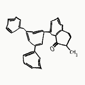 CC1Cc2cccc(-c3cc(-c4ccccc4)cc(-c4ccccc4)c3)c2C1=O